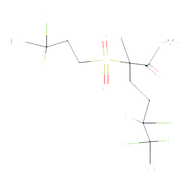 COC(=O)C(C)(CCC(F)(F)C(F)(F)C(F)(F)F)S(=O)(=O)CCC(F)(F)C(F)(F)F